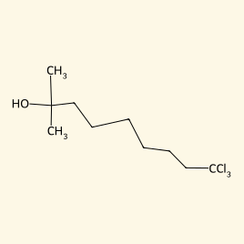 CC(C)(O)CCCCCCC(Cl)(Cl)Cl